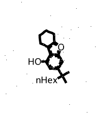 CCCCCCC(C)(C)c1cc(O)c2c3c(oc2c1)CCCC3